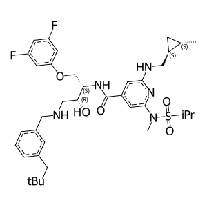 CC(C)S(=O)(=O)N(C)c1cc(C(=O)N[C@@H](COc2cc(F)cc(F)c2)[C@H](O)CNCc2cccc(CC(C)(C)C)c2)cc(NC[C@H]2C[C@@H]2C)n1